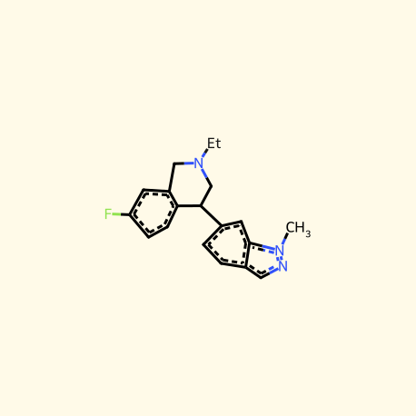 CCN1Cc2cc(F)ccc2C(c2ccc3cnn(C)c3c2)C1